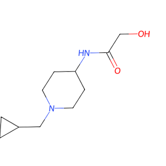 O=C(CO)NC1CCN(CC2CC2)CC1